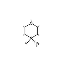 CC(C)C1(C)CCOCC1